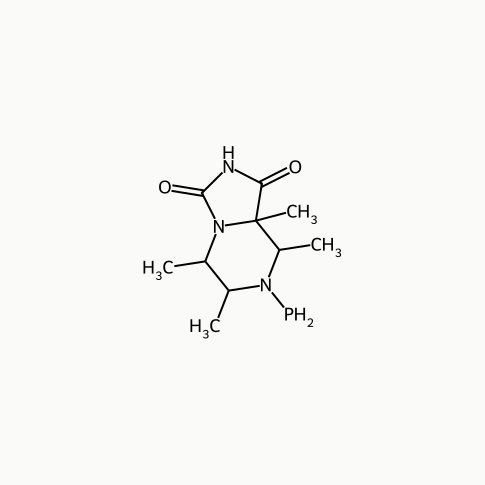 CC1C(C)N2C(=O)NC(=O)C2(C)C(C)N1P